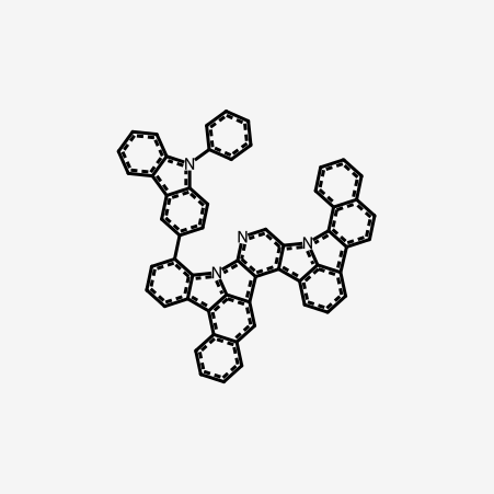 c1ccc(-n2c3ccccc3c3cc(-c4cccc5c6c7ccccc7cc7c8c9c%10cccc%11c%12ccc%13ccccc%13c%12n(c9cnc8n(c45)c76)c%11%10)ccc32)cc1